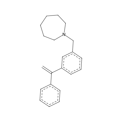 C=C(c1ccccc1)c1cccc(CN2CCCCCC2)c1